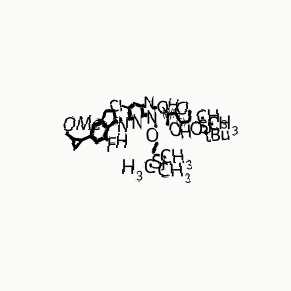 COCC1CC1c1cc(F)c2c(c1)CC[C@@H]2Nc1nc2c(cc1Cl)nc(O[C@@H]1CO[C@@H]3C(O[Si](C)(C)C(C)(C)C)CO[C@@H]31)n2COCC[Si](C)(C)C